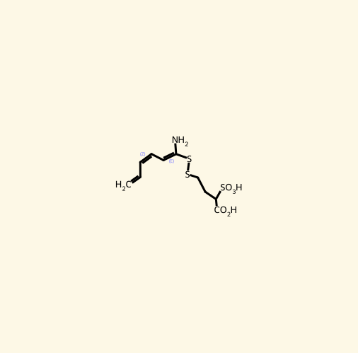 C=C/C=C\C=C(/N)SSCCC(C(=O)O)S(=O)(=O)O